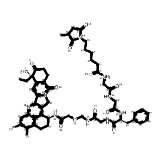 CC[C@@]1(O)C(=O)CCc2c1cc1n(c2=O)Cc2c-1nc1cc(F)c(C)c3c1c2[C@@H](NC(=O)COCNC(=O)CNC(=O)[C@H](Cc1ccccc1)NC(=O)CNC(=O)CNC(=O)CCCCCN1C(=O)CC(C)C1=O)CC3